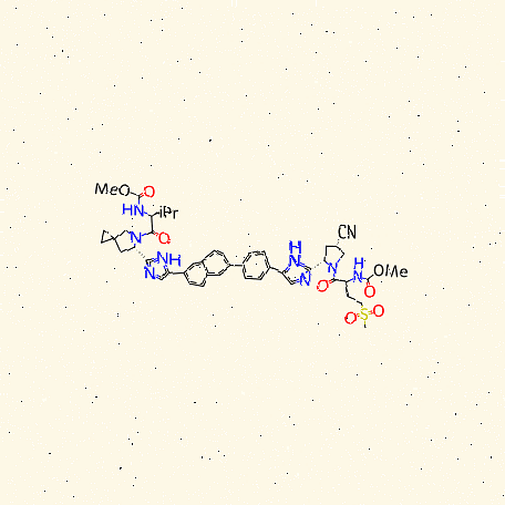 COC(=O)N[C@@H](CCS(C)(=O)=O)C(=O)N1C[C@@H](C#N)C[C@H]1c1ncc(-c2ccc(-c3ccc4cc(-c5cnc([C@@H]6CC7(CC7)CN6C(=O)[C@@H](NC(=O)OC)C(C)C)[nH]5)ccc4c3)cc2)[nH]1